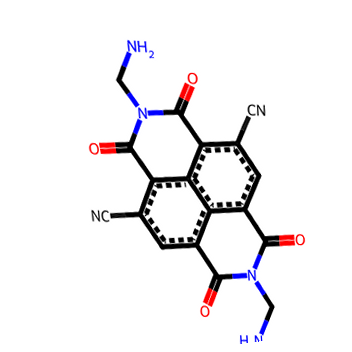 N#Cc1cc2c3c(cc(C#N)c4c3c1C(=O)N(CN)C4=O)C(=O)N(CN)C2=O